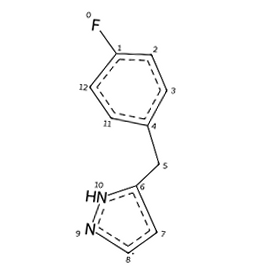 Fc1ccc(Cc2c[c]n[nH]2)cc1